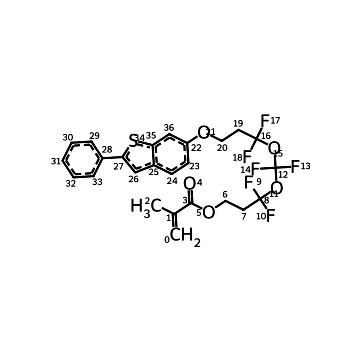 C=C(C)C(=O)OCCC(F)(F)OC(F)(F)OC(F)(F)CCOc1ccc2cc(-c3ccccc3)sc2c1